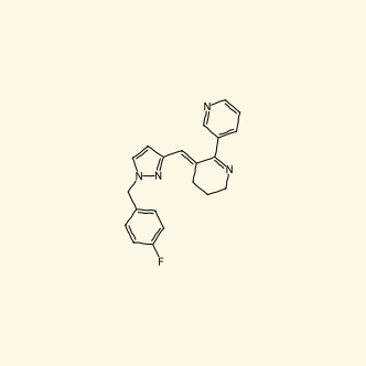 Fc1ccc(Cn2ccc(C=C3CCCN=C3c3cccnc3)n2)cc1